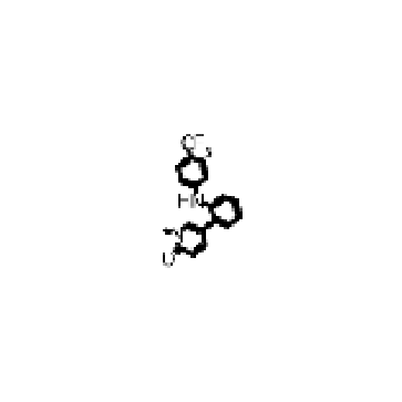 Cn1cc(-c2ccccc2Nc2ccc(C(F)(F)F)cc2)ccc1=O